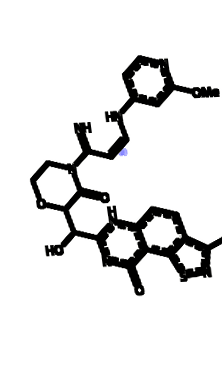 COc1cc(N/C=C\C(=N)N2CCOC(C(O)c3nc(=O)c4c(ccc5c(N)nsc54)[nH]3)C2=O)ccn1